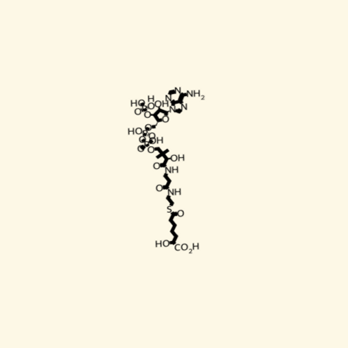 CC(C)(COP(=O)(O)OP(=O)(O)OC[C@H]1O[C@@H](n2cnc3c(N)ncnc32)[C@H](O)[C@@H]1OP(=O)(O)O)[C@@H](O)C(=O)NCCC(=O)NCCSC(=O)CCCCC(O)C(=O)O